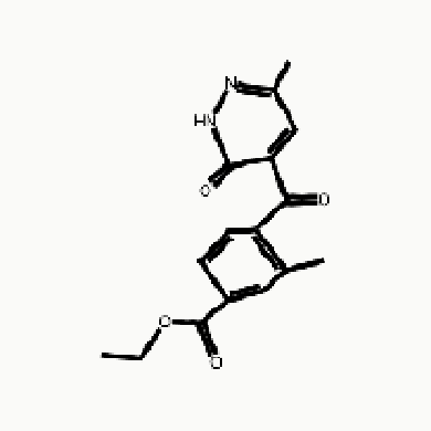 CCOC(=O)c1ccc(C(=O)c2cc(C)n[nH]c2=O)c(C)c1